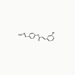 O=C(/C=C/c1cccc(Br)c1)Oc1ccc(/C=N/O)cc1